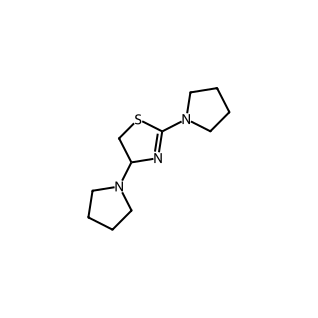 C1CCN(C2=NC(N3CCCC3)CS2)C1